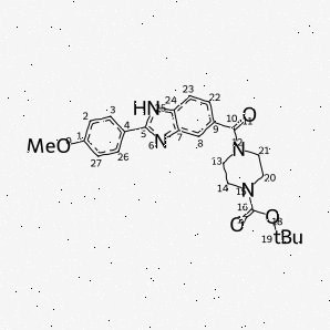 COc1ccc(-c2nc3cc(C(=O)N4CCN(C(=O)OC(C)(C)C)CC4)ccc3[nH]2)cc1